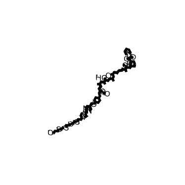 COC(CC1CCCC(C(=O)C(=O)N2CCCCC2)O1)/C(C)=C/C=C/C=C/C(C)CC(C)C(=O)CC(O)/C(C)=C/C(C)CCC(CCC1CCC(OCc2cnc(N3CCN(CCOCCOCCOCCOCCC=O)CC3)nc2)CC1)OC=O